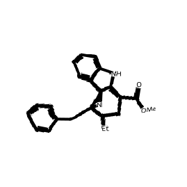 CCC1CC(C(=O)OC)=C2Nc3ccccc3C23CCN(Cc2ccccc2)C13